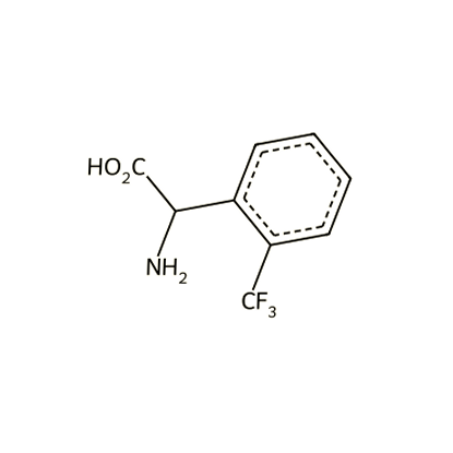 NC(C(=O)O)c1ccccc1C(F)(F)F